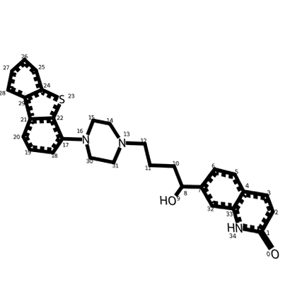 O=c1ccc2ccc(C(O)CCCN3CCN(c4cccc5c4sc4ccccc45)CC3)cc2[nH]1